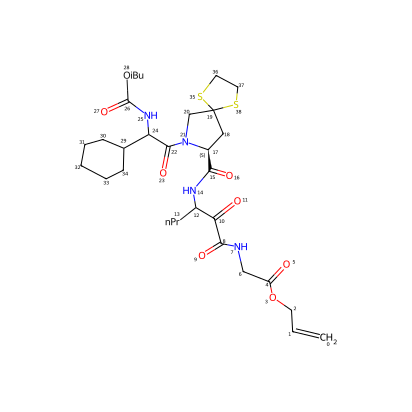 C=CCOC(=O)CNC(=O)C(=O)C(CCC)NC(=O)[C@@H]1CC2(CN1C(=O)C(NC(=O)OCC(C)C)C1CCCCC1)SCCS2